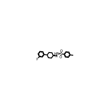 Cc1ccc(S(=O)(=O)NN=C2CCC(c3cccc(F)c3)CC2)cc1